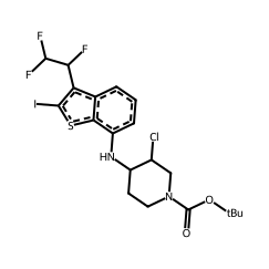 CC(C)(C)OC(=O)N1CCC(Nc2cccc3c(C(F)C(F)F)c(I)sc23)C(Cl)C1